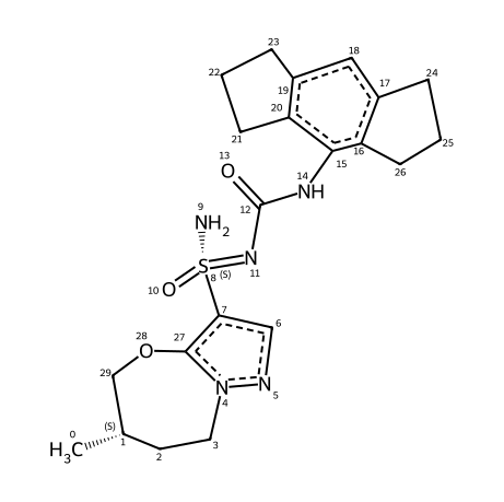 C[C@H]1CCn2ncc([S@@](N)(=O)=NC(=O)Nc3c4c(cc5c3CCC5)CCC4)c2OC1